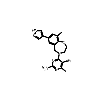 Cc1cc(-c2cn[nH]c2)cc2c1OCCN(c1nc(N)nc(C)c1C(C)C)C2